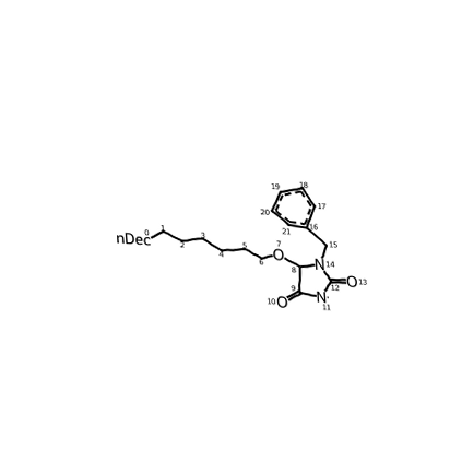 CCCCCCCCCCCCCCCCOC1C(=O)[N]C(=O)N1Cc1ccccc1